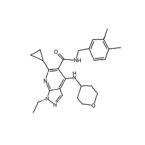 CCn1ncc2c(NC3CCOCC3)c(C(=O)NCc3ccc(C)c(C)c3)c(C3CC3)nc21